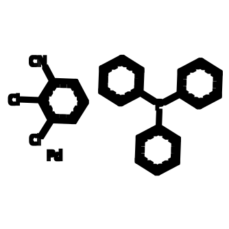 [C-]#[N+]c1cccc(Cl)c1Cl.[Pd].c1ccc(P(c2ccccc2)c2ccccc2)cc1